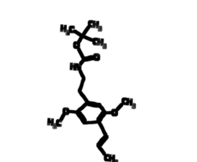 C/C=C/c1cc(OC)c(CCNC(=O)OC(C)(C)C)cc1OC